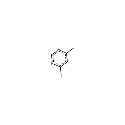 Cc1cc(I)ncn1